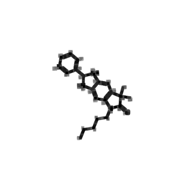 CCCCCN1C(=O)C(C)(C)c2cc3c(cc21)NC(c1cccnc1)N3